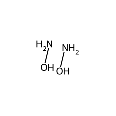 NO.NO